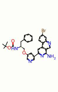 CC(C)(C)OC(=O)N[C@H](COc1cncc(-c2cc3c(cnc4cc(Br)ccc43)c(N)n2)c1)Cc1ccccc1